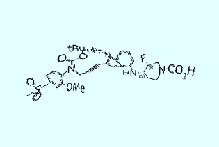 CCCn1c(C#CCN(C(=O)OC(C)(C)C)c2ccc(S(C)(=O)=O)cc2OC)cc2c(N[C@H]3CCN(C(=O)O)C[C@H]3F)cccc21